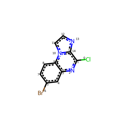 Clc1nc2cc(Br)ccc2n2ccnc12